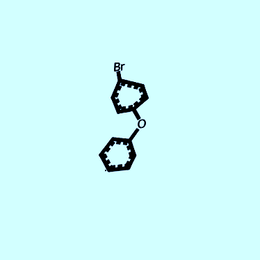 Brc1ccc(Oc2cc[c]cc2)cc1